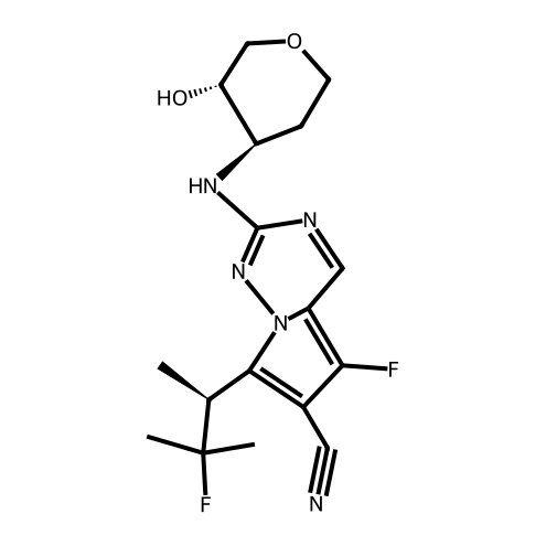 C[C@@H](c1c(C#N)c(F)c2cnc(N[C@@H]3CCOC[C@H]3O)nn12)C(C)(C)F